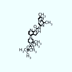 Cc1cn2cc(NC(=O)N3CCc4c(N5CCN(C(=O)OC(C)(C)C)C(C)(C)C5)ccnc43)nc(C)c2n1